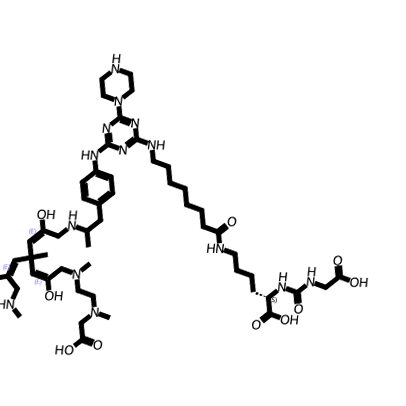 CNC/C(O)=C\C(C)(/C=C(/O)CNC(C)Cc1ccc(Nc2nc(NCCCCCCCC(=O)NCCCC[C@H](NC(=O)NCC(=O)O)C(=O)O)nc(N3CCNCC3)n2)cc1)/C=C(/O)CN(C)CCN(C)CC(=O)O